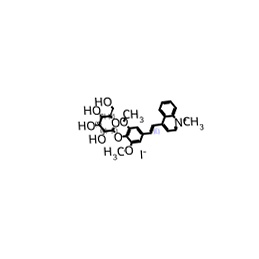 COc1cc(/C=C/c2cc[n+](C)c3ccccc23)cc(OC)c1O[C@@H]1O[C@H](CO)[C@H](O)[C@H](O)[C@H]1O.[I-]